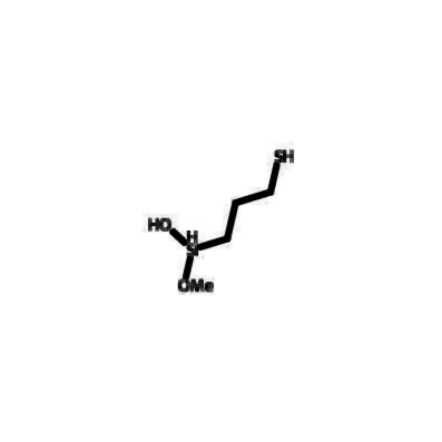 CO[SiH](O)CCCS